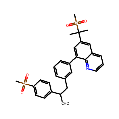 CC(C)(c1cc(-c2cccc(CC(C=O)c3ccc(S(C)(=O)=O)cc3)c2)c2ncccc2c1)S(C)(=O)=O